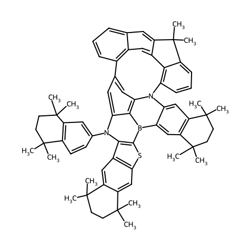 CC1(C)CCC(C)(C)c2cc(N3c4cc5cc6c4B(c4cc7c(cc4N6c4cccc6c4-c4cc8c-5cccc8cc4C6(C)C)C(C)(C)CCC7(C)C)c4sc5cc6c(cc5c43)C(C)(C)CCC6(C)C)ccc21